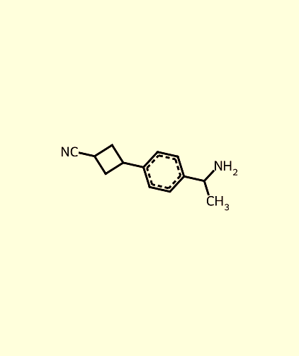 CC(N)c1ccc(C2CC(C#N)C2)cc1